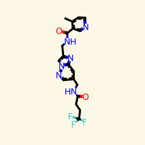 Cc1ccncc1C(=O)NCc1cn2ncc(CNC(=O)CCC(F)(F)F)cc2n1